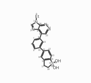 CCn1cnc2c(-c3cccc(-c4ccc5c(c4)CCS5(O)O)c3)cnnc21